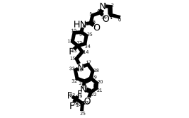 Cc1cnc(CC(=O)NC2CCC(F)(CCN3CCc4ccc(OC(C)C(F)(F)F)nc4CC3)CC2)o1